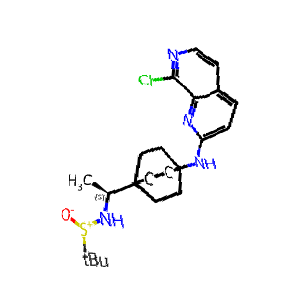 C[C@H](N[S+]([O-])C(C)(C)C)C12CCC(Nc3ccc4ccnc(Cl)c4n3)(CC1)CC2